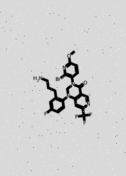 COc1ccc(N2CN(c3ccc(F)cc3CCCN)c3cc(C(F)(F)F)ncc3C2=O)c(Br)n1